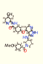 COc1ccc(C(=O)N2CCC[C@@H](Nc3n[nH]c4nccc(Oc5ccc(C(=O)Nc6cc(C)ccn6)cc5)c34)C2)cc1